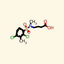 Cc1c(Cl)ccc(S(=O)(=O)N(C)CCCC(=O)O)c1Cl